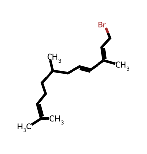 CC(C)=CCCC(C)CC=CC(C)=CCBr